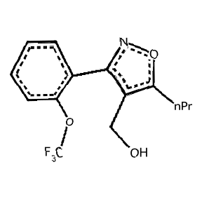 CCCc1onc(-c2ccccc2OC(F)(F)F)c1CO